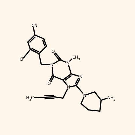 CC#CCn1c(N2CCCC(N)C2)nc2c1c(=O)n(Cc1ccc(C#N)cc1Cl)c(=O)n2C